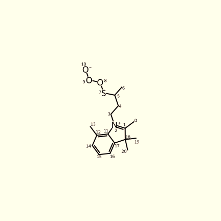 CC1=[N+](CCC(C)SOO[O-])c2c(C)cccc2C1(C)C